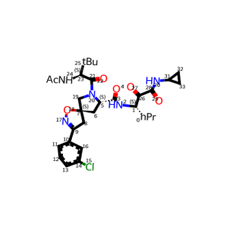 CCC[C@H](NC(=O)[C@@H]1C[C@]2(CC(c3cccc(Cl)c3)=NO2)CN1C(=O)[C@@H](NC(C)=O)C(C)(C)C)C(=O)C(=O)NC1CC1